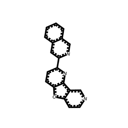 c1ccc2cc(-c3ccc4oc5ccncc5c4n3)ncc2c1